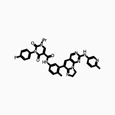 Cc1ccc(Nc2ncc3c(n2)N2CCN=C2C(c2cc(NC(=O)c4cn(C(C)C)c(=O)n(-c5ccc(F)cc5)c4=O)ccc2C)=C3)cn1